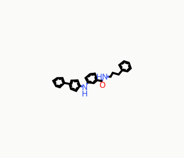 O=C(NCCCc1ccccc1)c1cccc(Nc2ccc(-c3ccccc3)cc2)c1